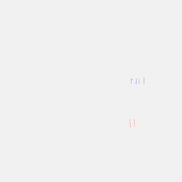 Cc1ccc(N)c(C(C)O)c1